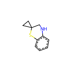 c1ccc2c(c1)NCC1(CC1)S2